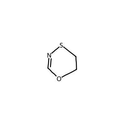 C1=NSCCO1